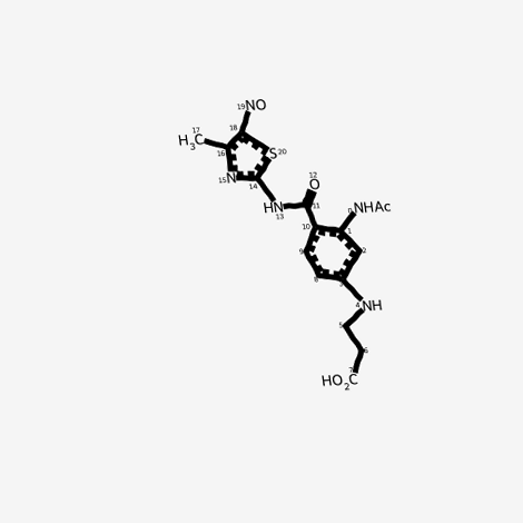 CC(=O)Nc1cc(NCCC(=O)O)ccc1C(=O)Nc1nc(C)c(N=O)s1